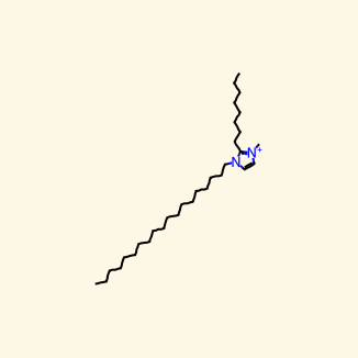 CCCCCCCCCCCCCCCCCCCn1cc[n+](C)c1CCCCCCCC